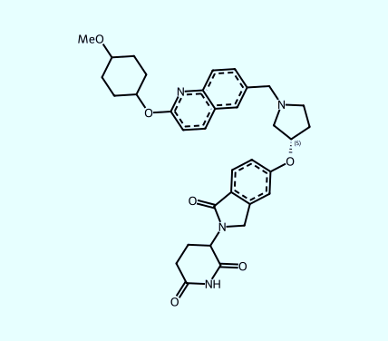 COC1CCC(Oc2ccc3cc(CN4CC[C@H](Oc5ccc6c(c5)CN(C5CCC(=O)NC5=O)C6=O)C4)ccc3n2)CC1